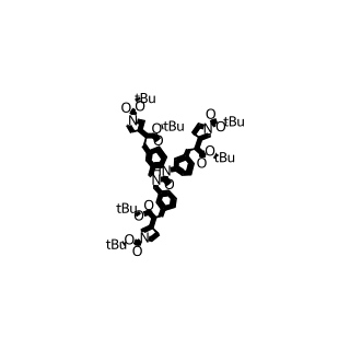 CC(C)(C)OC(=O)[C@@H](Cc1cccc(CN(Cc2cccc(C[C@H](C(=O)OC(C)(C)C)[C@H]3CCN(C(=O)OC(C)(C)C)C3)c2)C(=O)Nc2cccc(C[C@H](C(=O)OC(C)(C)C)[C@H]3CCN(C(=O)OC(C)(C)C)C3)c2)c1)[C@H]1CCN(C(=O)OC(C)(C)C)C1